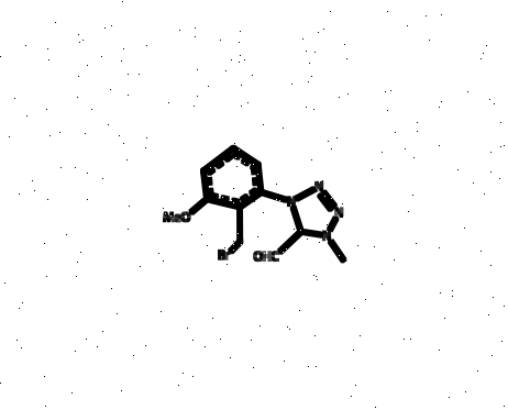 COc1cccc(N2N=NN(C)C2C=O)c1CBr